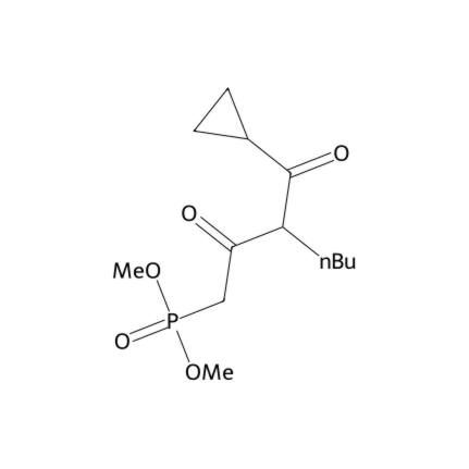 CCCCC(C(=O)CP(=O)(OC)OC)C(=O)C1CC1